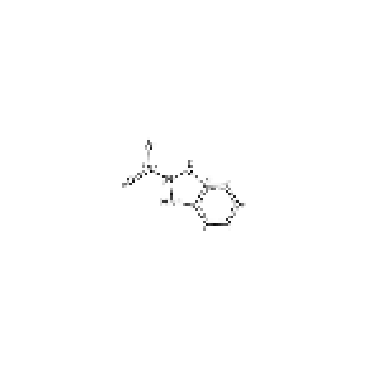 O=[N+]([O-])N1Nc2ccccc2S1